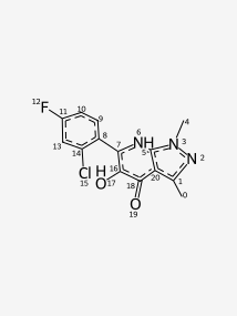 Cc1nn(C)c2[nH]c(-c3ccc(F)cc3Cl)c(O)c(=O)c12